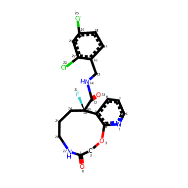 O=C1COc2ncccc2[C@@](F)(C(=O)NCc2ccc(Cl)cc2Cl)CCCN1